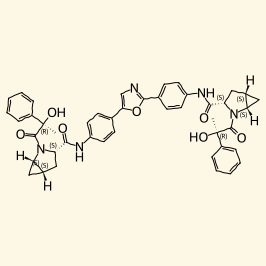 C[C@](O)(C(=O)N1[C@H](C(=O)Nc2ccc(-c3cnc(-c4ccc(NC(=O)[C@@H]5C[C@@H]6C[C@@H]6N5C(=O)[C@](C)(O)c5ccccc5)cc4)o3)cc2)C[C@@H]2C[C@@H]21)c1ccccc1